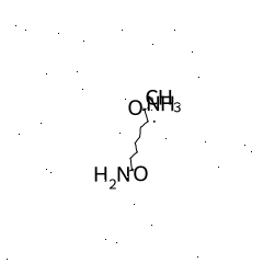 CNC(=O)[CH]CCCCCC(N)=O